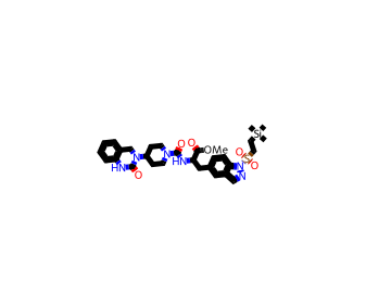 COC(=O)C(Cc1ccc2c(cnn2S(=O)(=O)CC[Si](C)(C)C)c1)NC(=O)N1CCC(N2Cc3ccccc3NC2=O)CC1